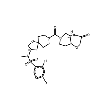 CN([C@H]1COC2(CCN(C(=O)N3CCC4OCC(=O)N[C@@H]4C3)CC2)C1)S(=O)(=O)c1ccc(F)cc1Cl